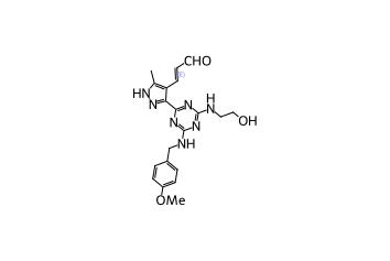 COc1ccc(CNc2nc(NCCO)nc(-c3n[nH]c(C)c3/C=C/C=O)n2)cc1